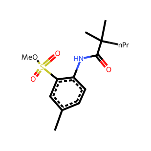 CCCC(C)(C)C(=O)Nc1ccc(C)cc1S(=O)(=O)OC